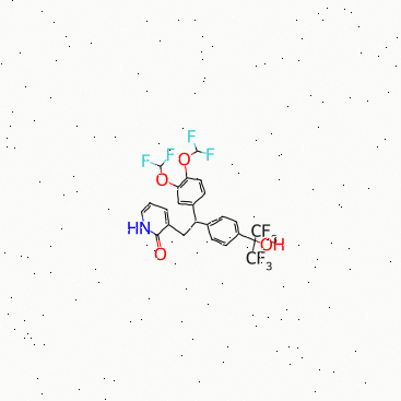 O=c1[nH]cccc1CC(c1ccc(C(O)(C(F)(F)F)C(F)(F)F)cc1)c1ccc(OC(F)F)c(OC(F)F)c1